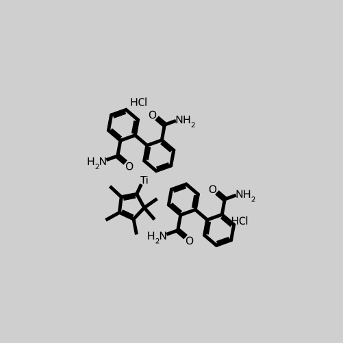 CC1=C(C)C(C)(C)[C]([Ti])=C1C.Cl.Cl.NC(=O)c1ccccc1-c1ccccc1C(N)=O.NC(=O)c1ccccc1-c1ccccc1C(N)=O